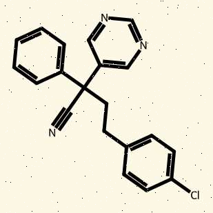 N#CC(CCc1ccc(Cl)cc1)(c1ccccc1)c1cncnc1